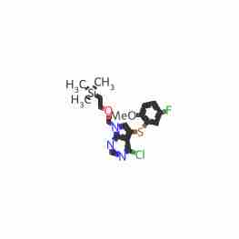 COc1ccc(F)cc1Sc1cn(COCC[Si](C)(C)C)c2ncnc(Cl)c12